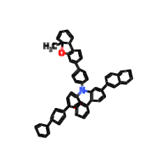 CC12C=CC=CC1c1ccc(-c3ccc(N(c4ccc(-c5ccc(-c6ccccc6)cc5)cc4)c4cc(-c5ccc6ccccc6c5)ccc4-c4ccccc4)cc3)cc1O2